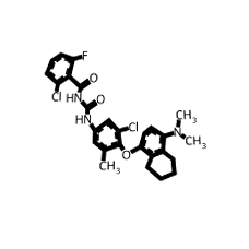 Cc1cc(NC(=O)NC(=O)c2c(F)cccc2Cl)cc(Cl)c1Oc1ccc(N(C)C)c2c1CCCC2